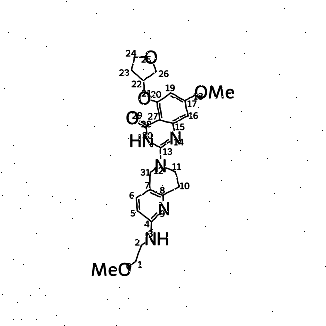 COCCNc1ccc2c(n1)CCN(c1nc3cc(OC)cc(OC4CCOC4)c3c(=O)[nH]1)C2